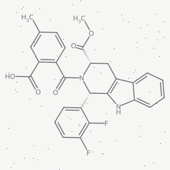 COC(=O)[C@@H]1Cc2c([nH]c3ccccc23)[C@H](c2cccc(F)c2F)N1C(=O)c1ccc(C)cc1C(=O)O